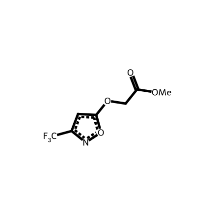 COC(=O)COc1cc(C(F)(F)F)no1